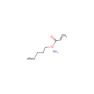 C=CC(=O)OCCCCCCCC.N